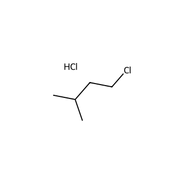 CC(C)CCCl.Cl